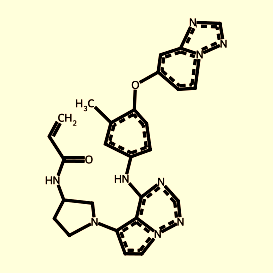 C=CC(=O)NC1CCN(c2ccn3ncnc(Nc4ccc(Oc5ccn6ncnc6c5)c(C)c4)c23)C1